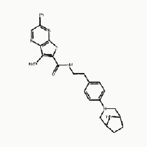 CNc1c(C(=O)NCCc2ccc(N3CC4CCC(C3)N4)cc2)sc2nc(C(C)C)cnc12